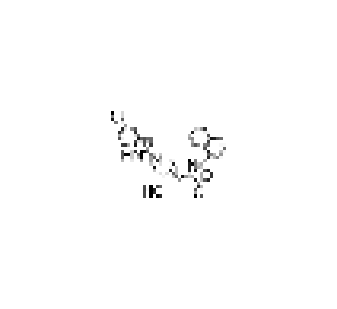 Cl.O=C1OC(c2cccc3ccccc23)=NC1=CN1CCN(c2nc3cc(Cl)ccc3[nH]2)CC1